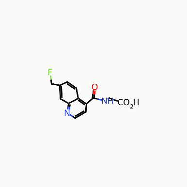 O=C(O)CNC(=O)c1ccnc2cc(CF)ccc12